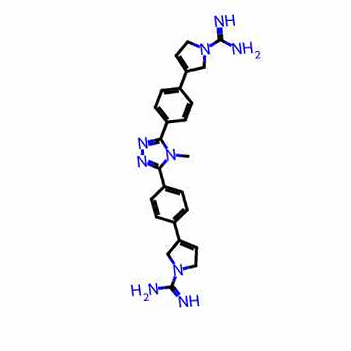 Cn1c(-c2ccc(C3=CCN(C(=N)N)C3)cc2)nnc1-c1ccc(C2=CCN(C(=N)N)C2)cc1